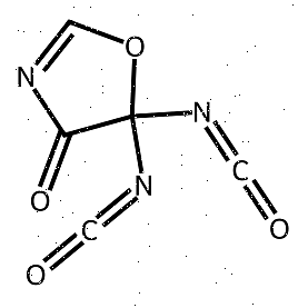 O=C=NC1(N=C=O)OC=NC1=O